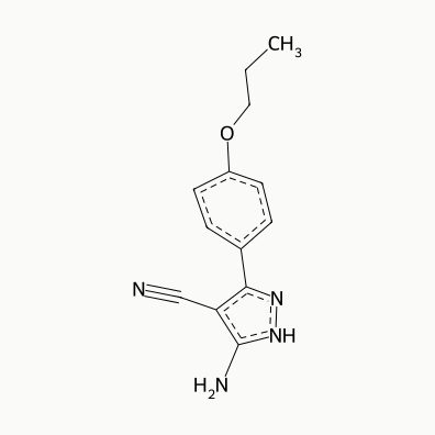 CCCOc1ccc(-c2n[nH]c(N)c2C#N)cc1